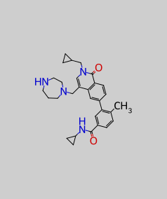 Cc1ccc(C(=O)NC2CC2)cc1-c1ccc2c(=O)n(CC3CC3)cc(CN3CCCNCC3)c2c1